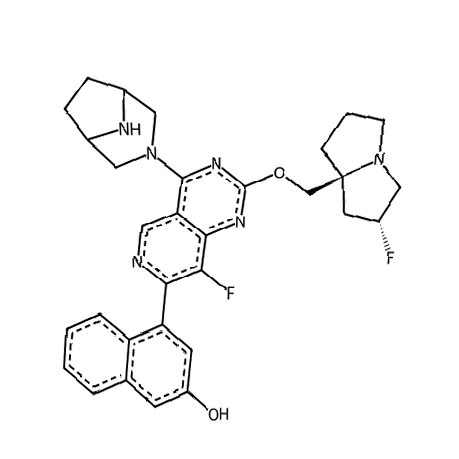 Oc1cc(-c2ncc3c(N4CC5CCC(C4)N5)nc(OC[C@@]45CCCN4C[C@H](F)C5)nc3c2F)c2ccccc2c1